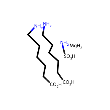 NCCCCCC(=O)O.NCCCCCC(=O)O.NS(=O)(=O)O.[MgH2]